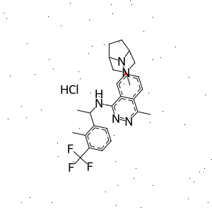 Cc1c(C(C)Nc2nnc(C)c3ccc(N4C5CCC4CN(C)C5)cc23)cccc1C(F)(F)F.Cl